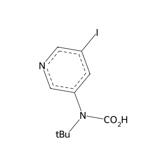 CC(C)(C)N(C(=O)O)c1cncc(I)c1